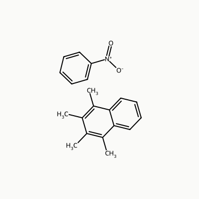 Cc1c(C)c(C)c2ccccc2c1C.O=[N+]([O-])c1ccccc1